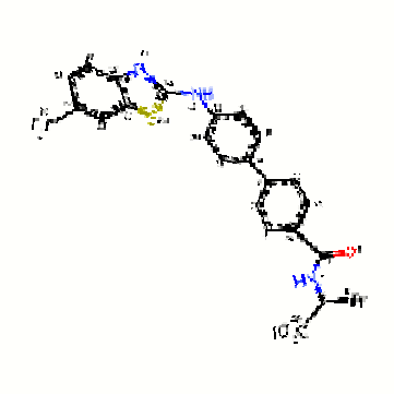 CC(C)[C@H](NC(=O)c1ccc(-c2ccc(Nc3nc4ccc(C(F)(F)F)cc4s3)cc2)cc1)C(=O)O